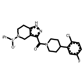 CC(C)[S+]([O-])N1CCc2[nH]nc(C(=O)N3CCC(c4cc(F)ccc4Cl)CC3)c2C1